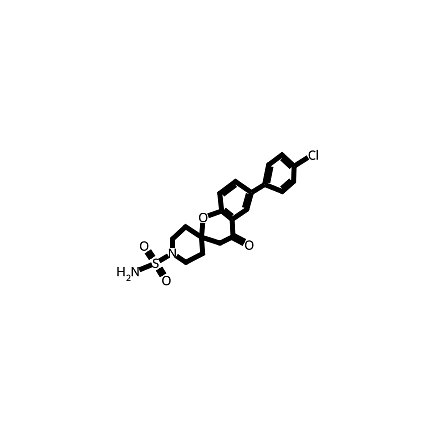 NS(=O)(=O)N1CCC2(CC1)CC(=O)c1cc(-c3ccc(Cl)cc3)ccc1O2